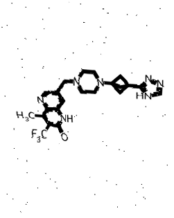 Cc1c(C(F)(F)F)c(=O)[nH]c2cc(CN3CCN(C45CC(c6nnc[nH]6)(C4)C5)CC3)cnc12